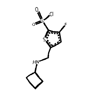 O=S(=O)(Cl)c1sc(CNC2CCC2)cc1F